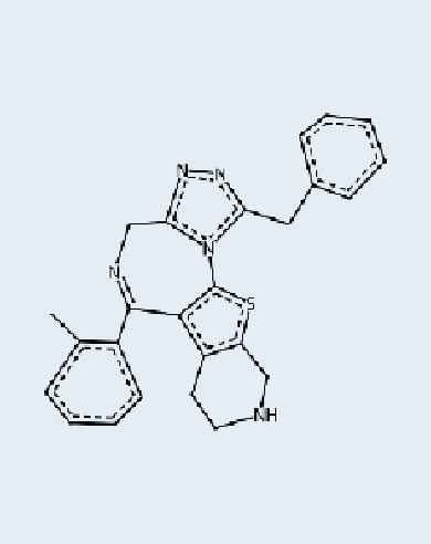 Cc1ccccc1C1=NCc2nnc(Cc3ccccc3)n2-c2sc3c(c21)CCNC3